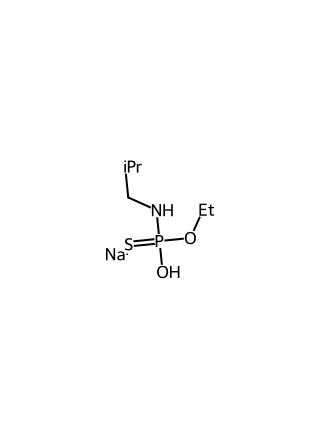 CCOP(O)(=S)NCC(C)C.[Na]